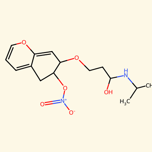 CC(C)NC(O)CCOC1C=C2OC=CC=C2CC1O[N+](=O)[O-]